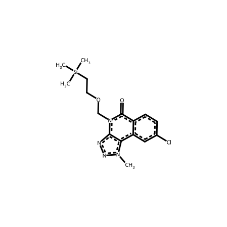 Cn1nnc2c1c1cc(Cl)ccc1c(=O)n2COCC[Si](C)(C)C